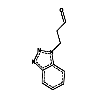 O=CCCn1nnc2ccccc21